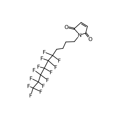 O=C1C=CC(=O)N1CCCCC(F)(F)C(F)(F)C(F)(F)C(F)(F)C(F)(F)C(F)(F)F